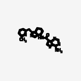 Cc1cccc(Cn2ncc3c(NC(=O)c4csc5c(N)ncnc45)cccc32)n1